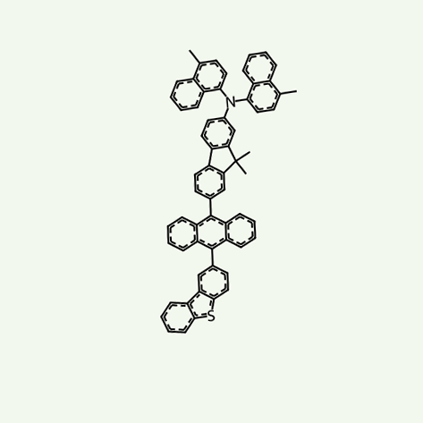 Cc1ccc(N(c2ccc3c(c2)C(C)(C)c2cc(-c4c5ccccc5c(-c5ccc6sc7ccccc7c6c5)c5ccccc45)ccc2-3)c2ccc(C)c3ccccc23)c2ccccc12